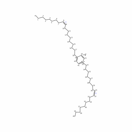 CCCCCCCC/C=C\CCCCCCCCCc1cc[n+](CCCCCCCC/C=C\CCCCCCCC)cc1.[I-]